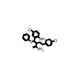 C=C(N)/C(CCC1=CC=C(Cl)CC1)=C(\Sc1ccccc1)c1cc(Cl)ccc1N